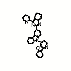 c1ccc(-c2nc(-c3ccc4c(c3)c3ccccc3n4-c3ccnc4c3oc3ccccc34)nc3ccccc23)nc1